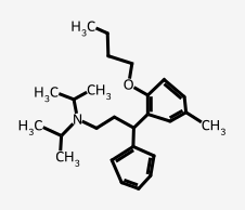 CCCCOc1ccc(C)cc1C(CCN(C(C)C)C(C)C)c1ccccc1